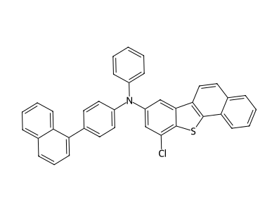 Clc1cc(N(c2ccccc2)c2ccc(-c3cccc4ccccc34)cc2)cc2c1sc1c3ccccc3ccc21